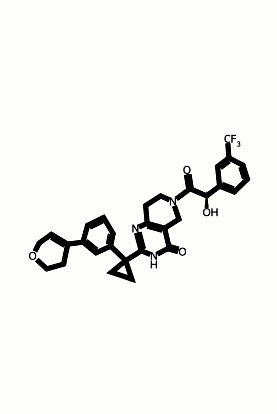 O=C([C@H](O)c1cccc(C(F)(F)F)c1)N1CCc2nc(C3(c4cccc(C5=CCOCC5)c4)CC3)[nH]c(=O)c2C1